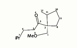 COC[C@@]1(C(=O)CCC(C)C)CCCC1C